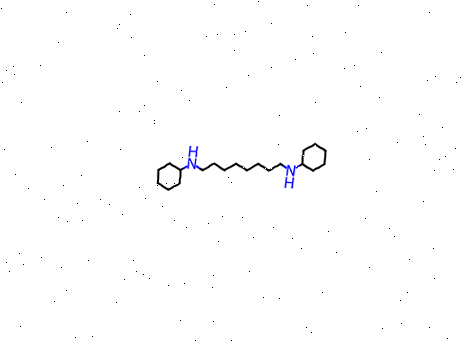 C(CCCCNC1CCCCC1)CCCNC1CCCCC1